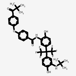 CC(C)(C)Nc1cc(C(c2ccc(O)c(NC(=O)c3ccc(Oc4ccc(C(=O)C(C)(C)C)cc4)cc3)c2)(C(F)(F)F)C(F)(F)F)ccc1O